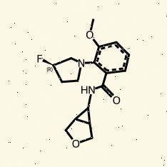 COc1cccc(C(=O)NC2C3COCC32)c1N1CC[C@@H](F)C1